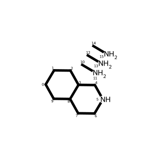 C1CCC2CNCCC2C1.CN.CN.CN